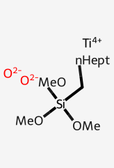 CCCCCCCC[Si](OC)(OC)OC.[O-2].[O-2].[Ti+4]